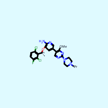 COc1nc(N2CCN(C(C)C)CC2)ncc1-c1cnc(N)c(O[C@H](C)c2c(Cl)ccc(F)c2Cl)c1